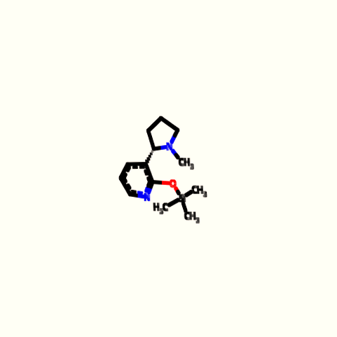 CN1CCC[C@H]1c1cccnc1O[Si](C)(C)C